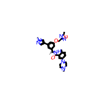 Cc1nc(COc2cc(-c3cnn(C)c3)cc([C@@H](C)NC(=O)c3cc(N4CCN(C)CC4)ccc3C)c2)no1